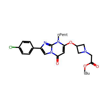 CCCCCn1c(OC2CN(CC(=O)OC(C)(C)C)C2)cc(=O)n2cc(-c3ccc(Cl)cc3)nc12